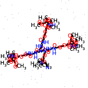 CC(=O)NC1C(OCCOCCOCCC(=O)NCCNC(=O)CN(CCOCCOP(OCCC#N)N(C(C)C)C(C)C)CCN(CC(=O)NCCNC(=O)CCOCCOCCOC2OC(COC(C)=O)C(OC(C)=O)C(OC(C)=O)C2NC(C)=O)CC(=O)NCCNC(=O)CCOCCOCCOC2OC(COC(C)=O)C(OC(C)=O)C(OC(C)=O)C2NC(C)=O)OC(COC(C)=O)C(OC(C)=O)C1OC(C)=O